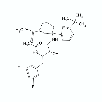 COC(=O)N1CCCC(NCC(O)C(Cc2cc(F)cc(F)c2)NC(C)=O)(c2cccc(C(C)(C)C)c2)C1